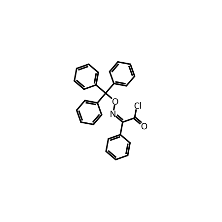 O=C(Cl)C(=NOC(c1ccccc1)(c1ccccc1)c1ccccc1)c1ccccc1